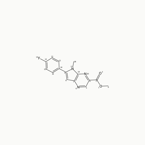 COC(=O)c1cnc2cc(-c3ccc(F)cc3)n(C)c2n1